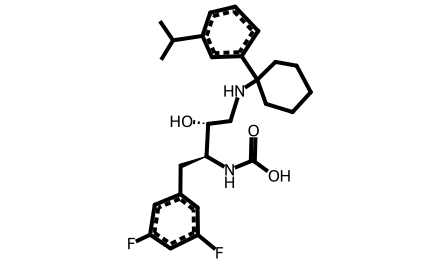 CC(C)c1cccc(C2(NC[C@@H](O)[C@H](Cc3cc(F)cc(F)c3)NC(=O)O)CCCCC2)c1